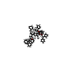 O=C(Cc1ccccc1CO/N=C(\C(=O)N[C@@H]1C(=O)N2C(C(=O)OC(c3ccccc3)c3ccccc3)=C(CI)CS[C@H]12)c1csc(NC(c2ccccc2)(c2ccccc2)c2ccccc2)n1)OC(c1ccccc1)c1ccccc1